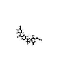 CC(C)C[C@H](NC(c1ccc(C(=O)N2CCNCC2)cc1)C(F)(F)F)C(=O)NCC#N